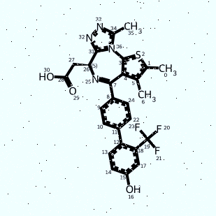 Cc1sc2c(c1C)C(c1ccc(-c3ccc(O)cc3C(F)(F)F)cc1)=N[C@@H](CC(=O)O)c1nnc(C)n1-2